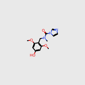 COc1cc(O)cc(OC)c1CN(C)C(=O)n1ccnc1